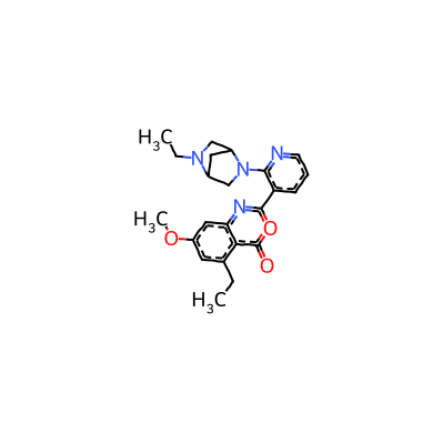 CCc1cc(OC)cc2nc(-c3cccnc3N3CC4CC3CN4CC)oc(=O)c12